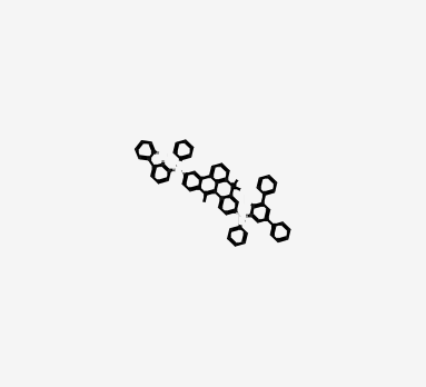 Cc1c2c3c(cccc3c3cc(N(c4ccccc4)c4cccc5c4oc4ccccc45)ccc13)C(C)(C)c1cc(N(c3ccccc3)c3cc(-c4ccccc4)cc(-c4ccccc4)c3F)ccc1-2